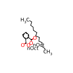 CCCCCCCCCCCCC.CCCCCCCCOC(=O)c1ccccc1C(=O)OCCCCCCCC